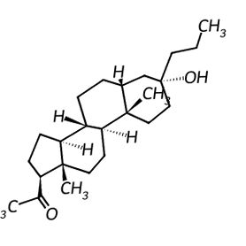 CCC[C@@]1(O)CC[C@@]2(C)[C@H](CC[C@@H]3[C@@H]2CC[C@]2(C)[C@@H](C(C)=O)CC[C@@H]32)C1